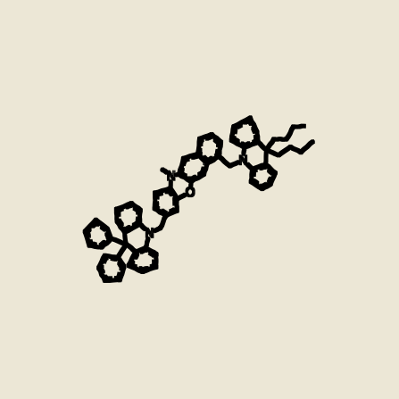 CCCCC1(CCCC)c2ccccc2N(Cc2cccc3cc4c(cc23)Oc2cc(CN3c5ccccc5C(c5ccccc5)(c5ccccc5)c5ccccc53)ccc2N4C)c2ccccc21